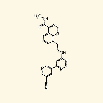 CNC(=O)c1ccnc2c(CCNc3cc(-c4cncc(C#N)c4)ncn3)cccc12